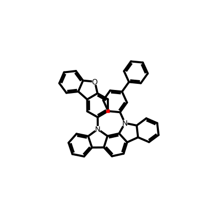 C1=CC2c3ccc4c5ccccc5n(-c5ccc6oc7ccccc7c6c5)c4c3N(C3=CC(c4ccccc4)=CCC3)C2C=C1